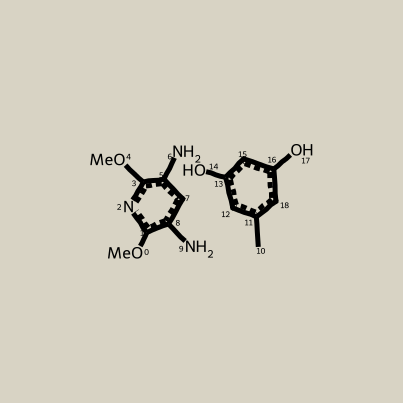 COc1nc(OC)c(N)cc1N.Cc1cc(O)cc(O)c1